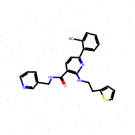 N#Cc1ccccc1-c1ccc(C(=O)NCc2cccnc2)c(NCCc2cccs2)n1